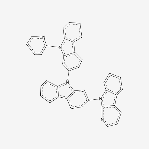 c1ccc(-n2c3ccccc3c3ccc(-n4c5ccccc5c5ccc(-n6c7ccccc7c7cccnc76)cc54)cc32)nc1